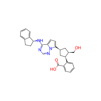 O=C(O)c1ccccc1[C@H]1C[C@@H](c2ccc3c(N[C@H]4CCc5ccccc54)ncnn23)C[C@H]1CO